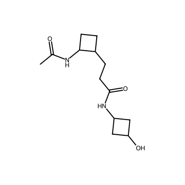 CC(=O)NC1CCC1CCC(=O)NC1CC(O)C1